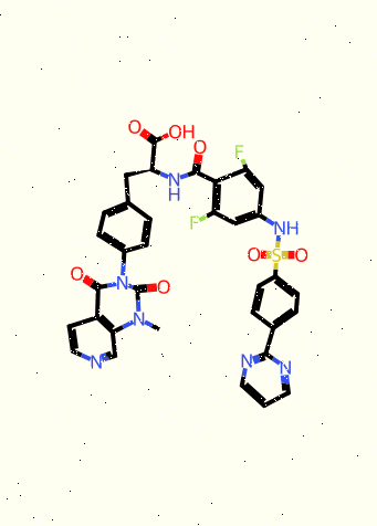 Cn1c(=O)n(-c2ccc(C[C@H](NC(=O)c3c(F)cc(NS(=O)(=O)c4ccc(-c5ncccn5)cc4)cc3F)C(=O)O)cc2)c(=O)c2ccncc21